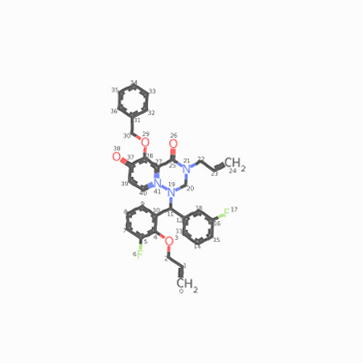 C=CCOc1c(F)cccc1C(c1cccc(F)c1)N1CN(CC=C)C(=O)c2c(OCc3ccccc3)c(=O)ccn21